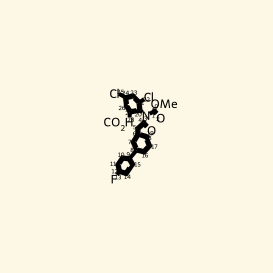 COC(=O)N(c1cc2cc(-c3ccc(F)cc3)ccc2o1)c1c(Cl)cc(Cl)cc1C(=O)O